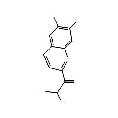 CC(C)C(=O)c1ccc2cc(Cl)c(Cl)cc2n1